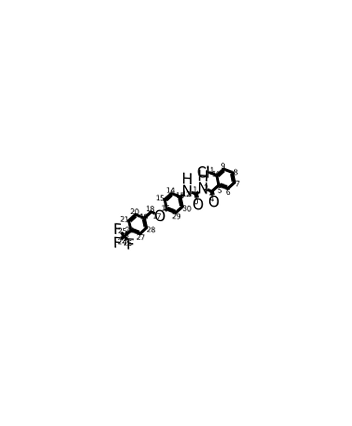 O=C(NC(=O)c1ccccc1Cl)Nc1ccc(OCc2ccc(C(F)(F)F)cc2)cc1